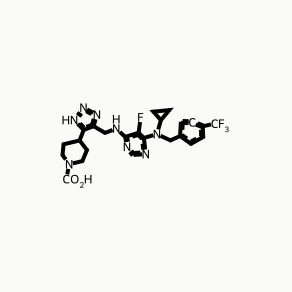 O=C(O)N1CCC(c2[nH]nnc2CNc2ncnc(N(Cc3ccc(C(F)(F)F)cc3)C3CC3)c2F)CC1